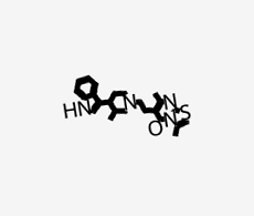 Cc1nc2scc(C)n2c(=O)c1CCN1CCC(c2c[nH]c3ccccc23)C(C)C1